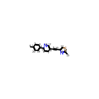 Cc1ccc(-c2ccc(C#Cc3csc(C)n3)cn2)cc1